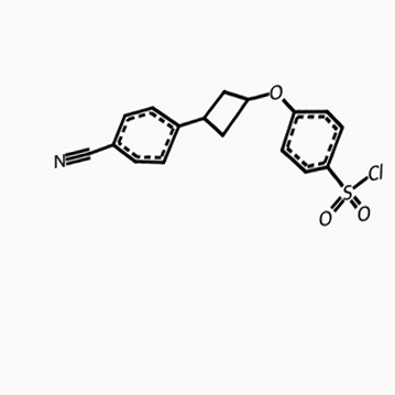 N#Cc1ccc(C2CC(Oc3ccc(S(=O)(=O)Cl)cc3)C2)cc1